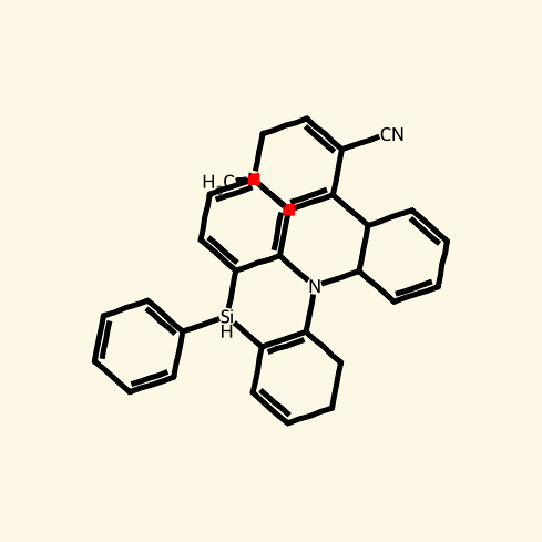 CN1C=C(C2C=CC=CC2N2C3=C(C=CCC3)[SiH](c3ccccc3)c3ccccc32)C(C#N)=CC1